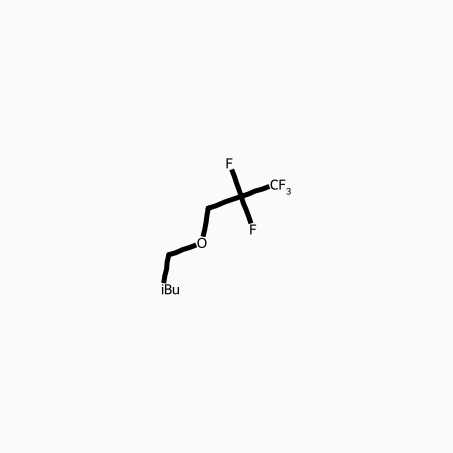 CCC(C)COCC(F)(F)C(F)(F)F